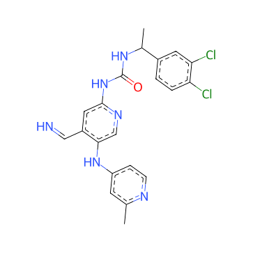 Cc1cc(Nc2cnc(NC(=O)NC(C)c3ccc(Cl)c(Cl)c3)cc2C=N)ccn1